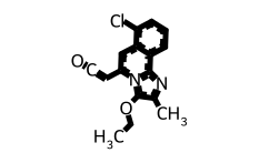 CCOc1c(C)nc2c3cccc(Cl)c3cc(C=C=O)n12